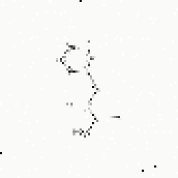 CC(C(=O)O)[S+]([O-])Cc1ccccc1